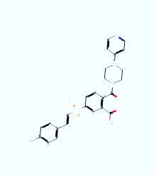 O=C(O)c1cc(S(=O)(=O)/C=C/c2ccc(Cl)cc2)ccc1C(=O)N1CCN(c2ccncc2)CC1